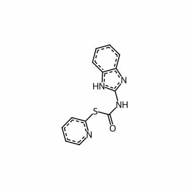 O=C(Nc1nc2ccccc2[nH]1)Sc1ccccn1